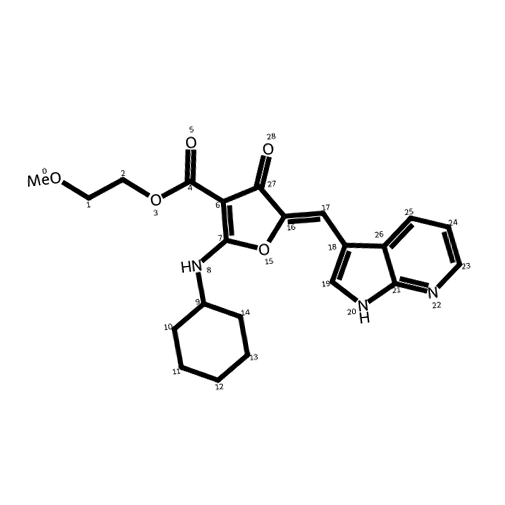 COCCOC(=O)C1=C(NC2CCCCC2)OC(=Cc2c[nH]c3ncccc23)C1=O